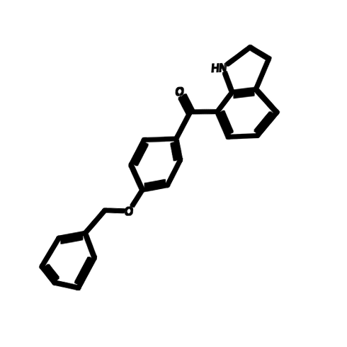 O=C(c1ccc(OCc2ccccc2)cc1)c1cccc2c1NCC2